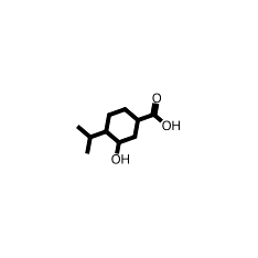 CC(C)C1CCC(C(=O)O)CC1O